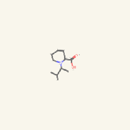 CC(C)C(C)N1CCCCC1C(=O)O